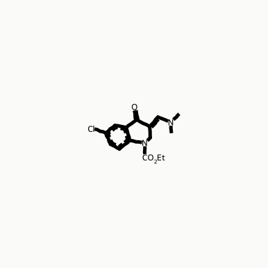 CCOC(=O)N1CC(=CN(C)C)C(=O)c2cc(Cl)ccc21